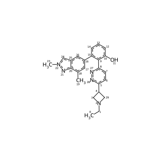 CCN1CC(c2ccc(-c3c(O)cccc3-c3cc(C)c4nn(C)cc4c3)nn2)C1